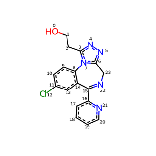 OCCc1nnc2n1-c1ccc(Cl)cc1C(c1ccccn1)=NC2